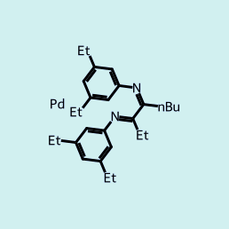 CCCCC(=Nc1cc(CC)cc(CC)c1)C(CC)=Nc1cc(CC)cc(CC)c1.[Pd]